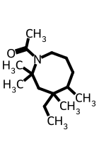 CCC1(C)CC(C)(C)N(C(C)=O)CCCC1C